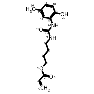 C=CC(=O)OCCCCNC(=O)Nc1cc(C)ccc1O